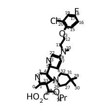 Cc1ncc(-c2ccc(N(C)CCOc3ccc(F)cc3Cl)cn2)c(N2CCC(C)(C)CC2)c1[C@H](OC(C)C)C(=O)O